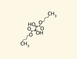 CCCCOC(=O)[C@@H](O)[C@@H](O)C(=O)OCCCC